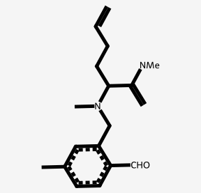 C=CCCC(C(=C)NC)N(C)Cc1cc(C)ccc1C=O